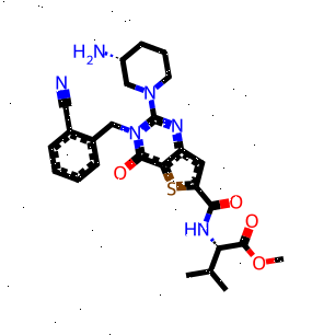 COC(=O)[C@@H](NC(=O)c1cc2nc(N3CCC[C@@H](N)C3)n(Cc3ccccc3C#N)c(=O)c2s1)C(C)C